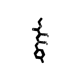 CCOC(=O)/C(N)=C/N(N)Cc1ccc(C)cc1